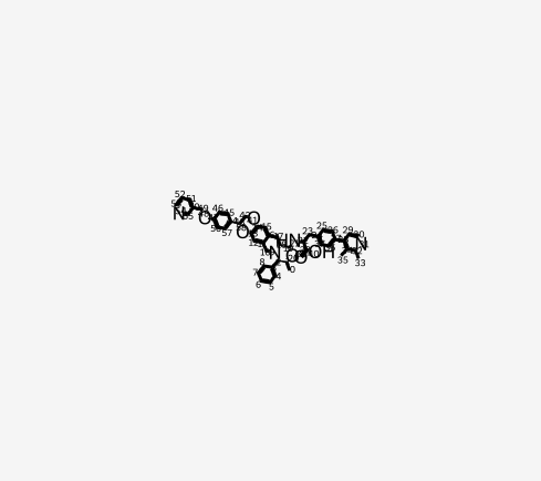 CC[C@@H](c1ccccc1)N1Cc2cc3c(cc2C[C@H]1C(=O)NC(Cc1ccc(-c2ccnc(C)c2C)cc1)C(=O)O)OC[C@H](c1ccc(OCc2cccnc2)cc1)O3